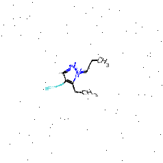 CCCn1n[c]c(F)c1CC